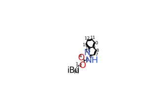 CC[C@@H](C)COC(=O)Nc1ccc2ccccc2n1